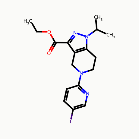 CCOC(=O)c1nn(C(C)C)c2c1CN(c1ccc(I)cn1)CC2